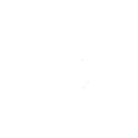 CC(=O)N[C@@](C)(CCCCB1OC(C)(C)C(C)(C)O1)C1CCC(NCc2ccc(C)cc2)CC1